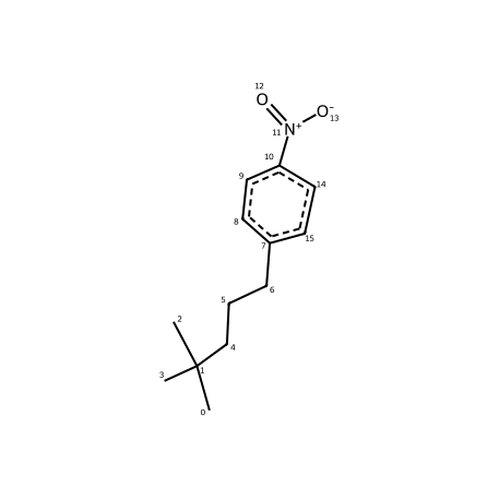 CC(C)(C)CCCc1ccc([N+](=O)[O-])cc1